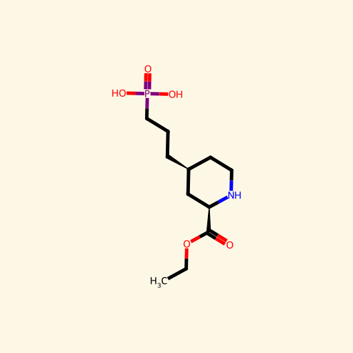 CCOC(=O)[C@H]1C[C@@H](CCCP(=O)(O)O)CCN1